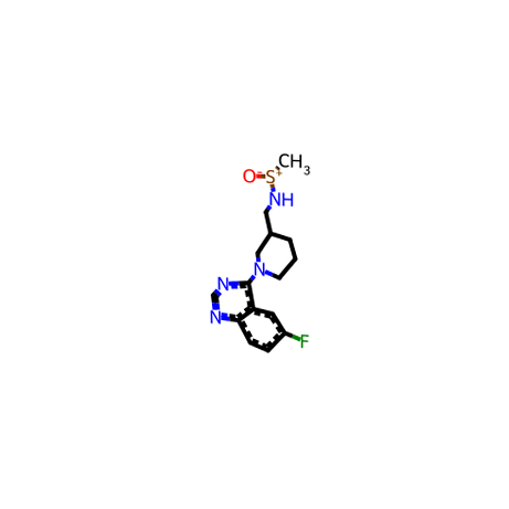 C[S+]([O-])NCC1CCCN(c2ncnc3ccc(F)cc23)C1